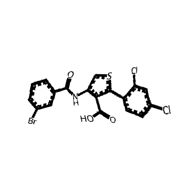 O=C(Nc1csc(-c2ccc(Cl)cc2Cl)c1C(=O)O)c1cccc(Br)c1